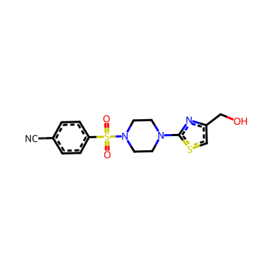 N#Cc1ccc(S(=O)(=O)N2CCN(c3nc(CO)cs3)CC2)cc1